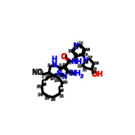 N#CCC1CNc2c(C(=O)Nc3cnccc3N3CCC(O)CC3)c(N)nn2C12CCCCCCCCCC2